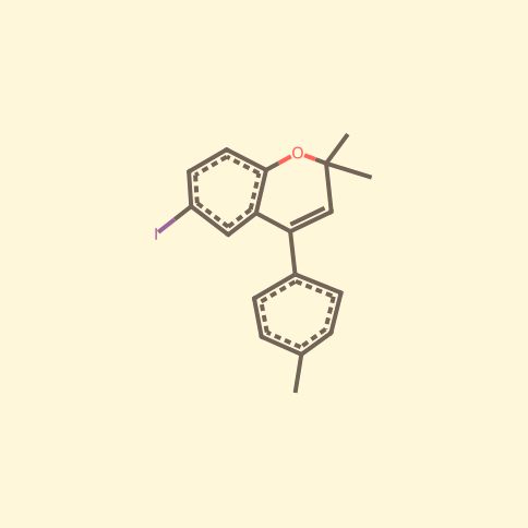 Cc1ccc(C2=CC(C)(C)Oc3ccc(I)cc32)cc1